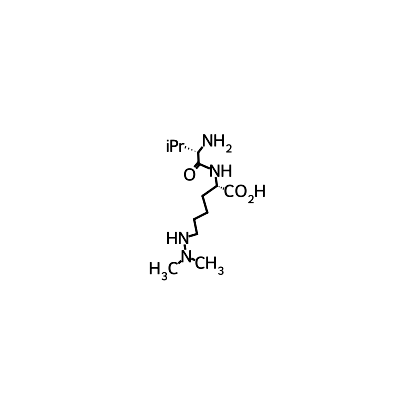 CC(C)[C@H](N)C(=O)N[C@@H](CCCCNN(C)C)C(=O)O